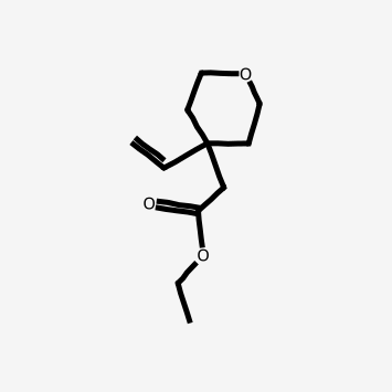 C=CC1(CC(=O)OCC)CCOCC1